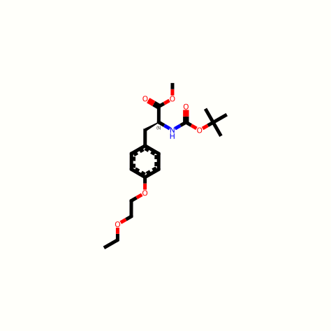 CCOCCOc1ccc(C[C@H](NC(=O)OC(C)(C)C)C(=O)OC)cc1